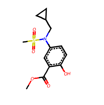 COC(=O)c1cc(N(CC2CC2)S(C)(=O)=O)ccc1O